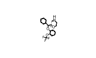 FC(F)(F)Oc1ccccc1O[C@@H](c1ccccc1)[C@@H]1CNCCO1